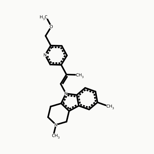 COCc1ccc(/C(C)=C/n2c3c(c4cc(C)ccc42)CN(C)CC3)cn1